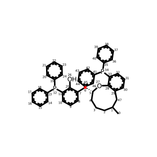 CC1CCC[C@H](Cc2cccc(P(c3ccccc3)c3ccccc3)c2O)Oc2c(cccc2P(c2ccccc2)c2ccccc2)C1